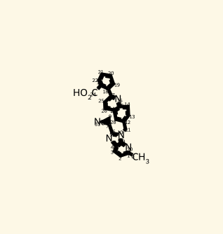 Cc1ccc2nc(C3CC3)n(Cc3ccc4nc(-c5ccccc5C(=O)O)ccc4c3)c2n1.[Na]